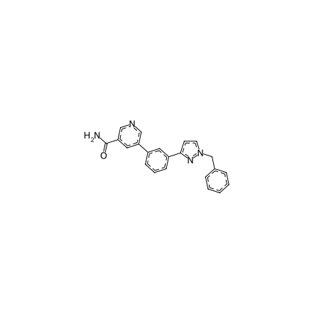 NC(=O)c1cncc(-c2cccc(-c3ccn(Cc4ccccc4)n3)c2)c1